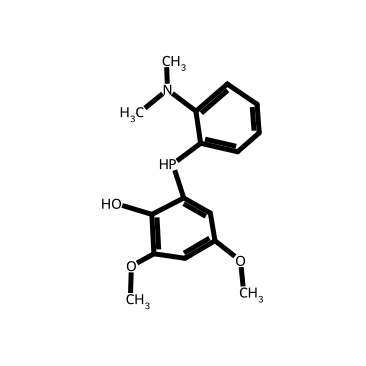 COc1cc(OC)c(O)c(Pc2ccccc2N(C)C)c1